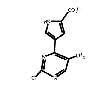 Cc1cnc(Cl)nc1-c1c[nH]c(C(=O)O)c1